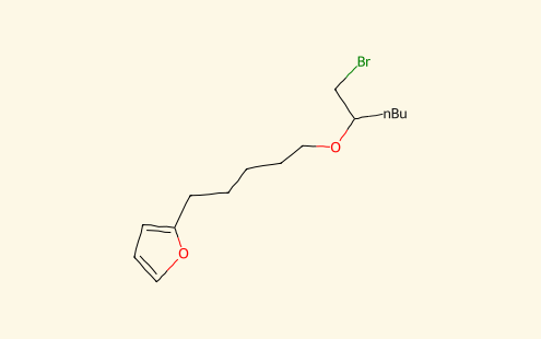 CCCCC(CBr)OCCCCCc1ccco1